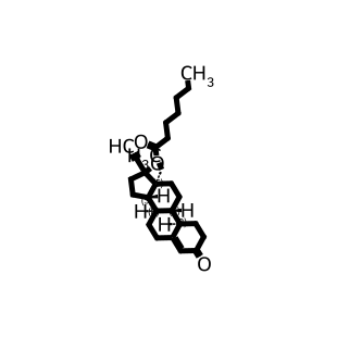 C#CC1(OC(=O)CCCCCC)CC[C@H]2[C@@H]3CCC4=CC(=O)CC[C@@H]4[C@H]3CC[C@@]21CC